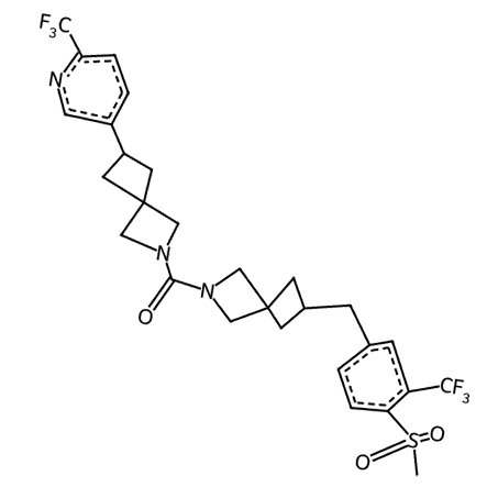 CS(=O)(=O)c1ccc(CC2CC3(C2)CN(C(=O)N2CC4(CC(c5ccc(C(F)(F)F)nc5)C4)C2)C3)cc1C(F)(F)F